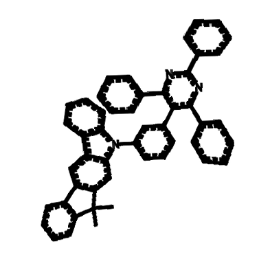 CC1(C)c2ccccc2-c2cc3c4ccccc4n(-c4cccc(-c5c(-c6ccccc6)nc(-c6ccccc6)nc5-c5ccccc5)c4)c3cc21